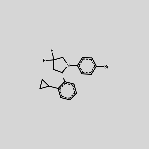 FC1(F)C[C@@H](c2ccccc2C2CC2)N(c2ccc(Br)cc2)C1